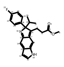 COC(=O)CCC1=c2cc3[nH]ccc3cc2=NC1(c1ccc(F)cc1)C(C)C